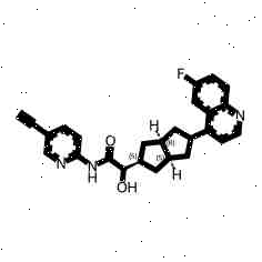 C#Cc1ccc(NC(=O)C(O)[C@H]2C[C@H]3CC(c4ccnc5ccc(F)cc45)C[C@H]3C2)nc1